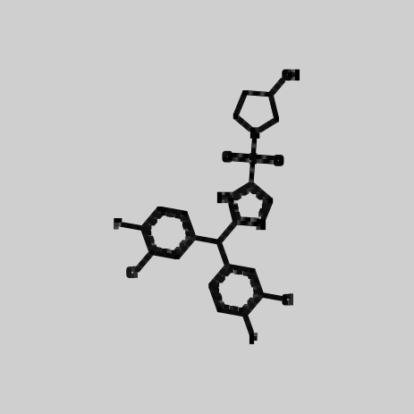 O=S(=O)(c1cnc(C(c2ccc(F)c(Cl)c2)c2ccc(F)c(Cl)c2)[nH]1)N1CCC(O)C1